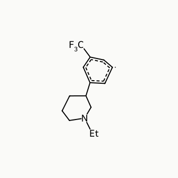 CCN1CCCC(c2c[c]cc(C(F)(F)F)c2)C1